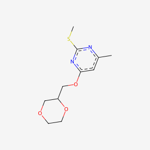 CSc1nc(C)cc(OCC2COCCO2)n1